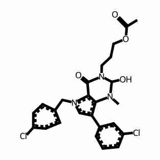 CC(=O)OCCCN1C(=O)c2c(c(-c3cccc(Cl)c3)cn2Cc2ccc(Cl)cc2)N(C)C1O